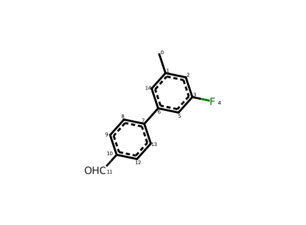 Cc1cc(F)cc(-c2ccc(C=O)cc2)c1